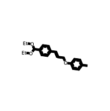 CCOC(OCC)c1ccc(C=CCOc2ccc(C)cc2)cc1